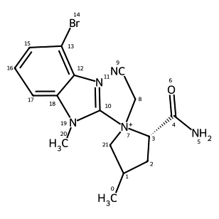 CC1C[C@@H](C(N)=O)[N+](CC#N)(c2nc3c(Br)cccc3n2C)C1